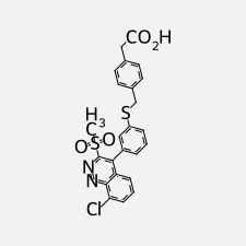 CS(=O)(=O)c1nnc2c(Cl)cccc2c1-c1cccc(SCc2ccc(CC(=O)O)cc2)c1